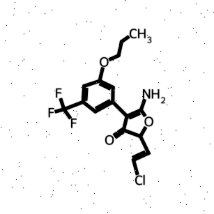 CCCOc1cc(C2=C(N)OC(C=CCl)C2=O)cc(C(F)(F)F)c1